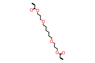 C=CC(=O)OCCCOCCCCCCOCCCOC(=O)C=C